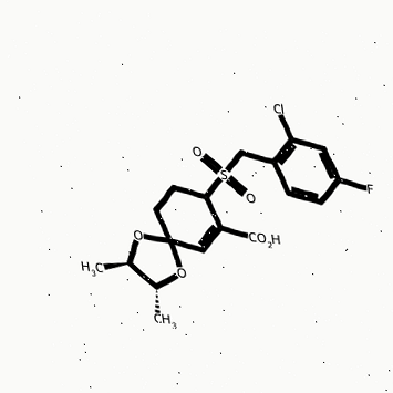 C[C@H]1OC2(C=C(C(=O)O)C(S(=O)(=O)Cc3ccc(F)cc3Cl)CC2)O[C@@H]1C